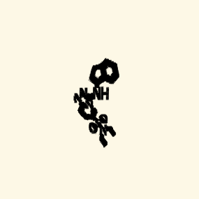 CCN(CC)S(=O)(=O)c1ccc2nnc(NC3CCc4ccccc43)n2c1